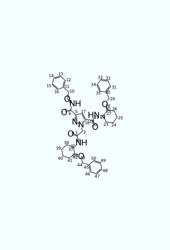 O=C(Cn1nc(C(=O)NOCc2ccccc2)cc1C(=O)N[C@H]1CCCC[C@@H]1OCc1ccccc1)N[C@H]1CCCC[C@@H]1OCc1ccccc1